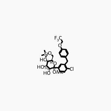 CO[C@@]1(c2ccc(Cl)c(Cc3ccc(OCC(F)(F)F)cc3)c2)O[C@H](CO[Si](C)(C)C)[C@@H](O)[C@H](O)[C@H]1O